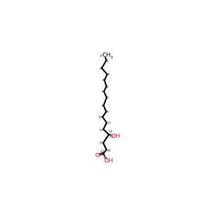 CCCCCCCCCCCCCC(O)CCC(=O)O